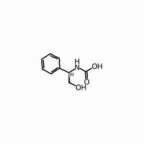 O=C(O)N[C@@H](CO)c1ccccc1